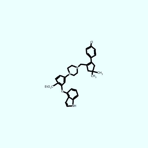 CCOC(=O)c1ccc(N2CCN(CC3=C(c4ccc(Cl)cc4)CC(C)(C)C3)CC2)cc1Oc1cccc2[nH]ccc12